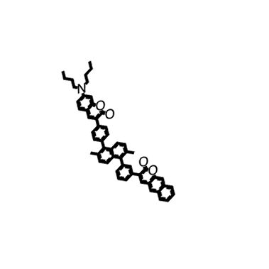 CCCCN(CCCC)c1ccc2cc(-c3ccc(-c4c(C)ccc5c(-c6cccc(-c7cc8cc9ccccc9cc8oc7=O)c6)c(C)ccc45)cc3)c(=O)oc2c1